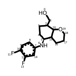 OCC1CC[C@H](Nc2ccc(F)c(F)c2)C2CCCOC12